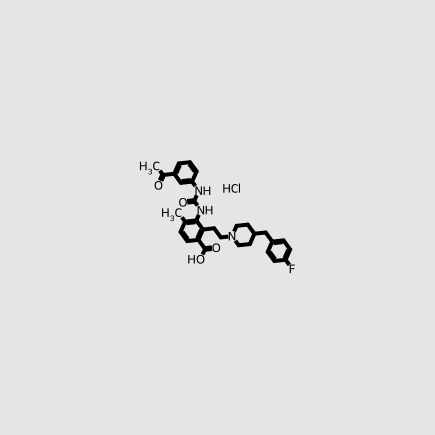 CC(=O)c1cccc(NC(=O)Nc2c(C)ccc(C(=O)O)c2CCN2CCC(Cc3ccc(F)cc3)CC2)c1.Cl